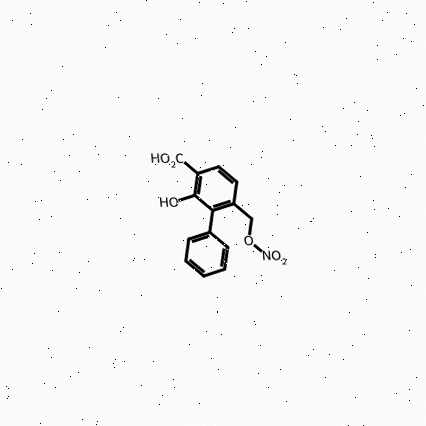 O=C(O)c1ccc(CO[N+](=O)[O-])c(-c2ccccc2)c1O